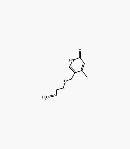 C=CCCOCc1c[nH]c(=O)cc1I